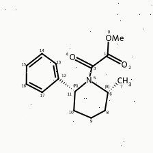 COC(=O)C(=O)N1[C@H](C)CCC[C@@H]1c1ccccc1